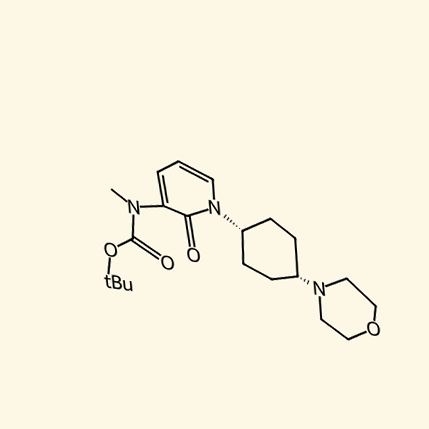 CN(C(=O)OC(C)(C)C)c1cccn([C@H]2CC[C@@H](N3CCOCC3)CC2)c1=O